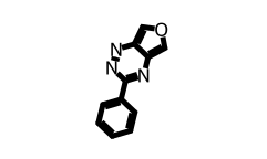 c1ccc(-c2nnc3cocc3n2)cc1